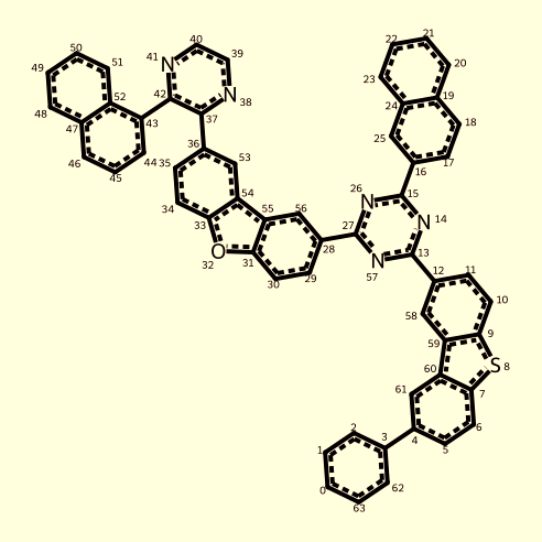 c1ccc(-c2ccc3sc4ccc(-c5nc(-c6ccc7ccccc7c6)nc(-c6ccc7oc8ccc(-c9nccnc9-c9cccc%10ccccc9%10)cc8c7c6)n5)cc4c3c2)cc1